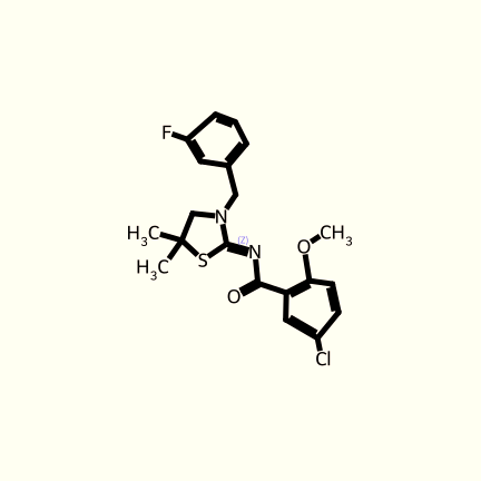 COc1ccc(Cl)cc1C(=O)/N=C1\SC(C)(C)CN1Cc1cccc(F)c1